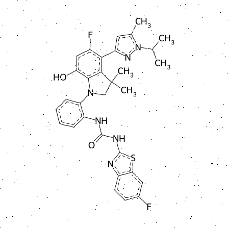 Cc1cc(-c2c(F)cc(O)c3c2C(C)(C)CN3c2ccccc2NC(=O)Nc2nc3ccc(F)cc3s2)nn1C(C)C